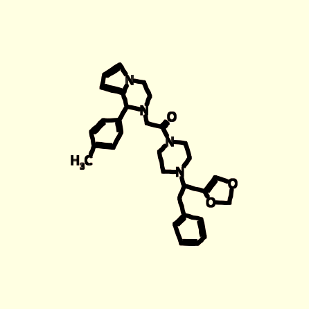 Cc1ccc(C2c3cccn3CCN2CC(=O)N2CCN(C(Cc3ccccc3)C3=COCO3)CC2)cc1